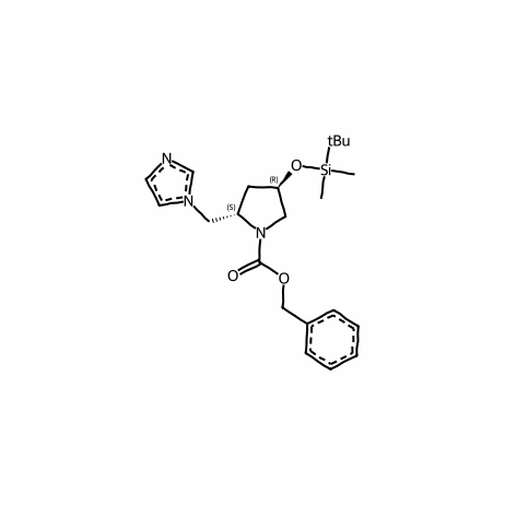 CC(C)(C)[Si](C)(C)O[C@@H]1C[C@@H](Cn2ccnc2)N(C(=O)OCc2ccccc2)C1